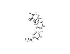 CN1CCC(C)(C2CCN(Cc3ccc(OC(F)(F)F)cc3)CC2)C(=O)C1=O